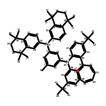 Cc1cc(N(c2ccc3c(c2)C(C)(C)CCC3(C)C)c2ccc3c(c2)C(C)(C)CCC3(C)C)cc(N(c2cccc(C(C)(C)C)c2)c2ccc(C(C)(C)C)cc2C2=CCC=CC=C2)c1